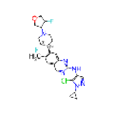 Cc1cc2cnc(Nc3cnn(C4CC4)c3Cl)nc2cc1[C@@H]1CCN(C2COCC2F)C[C@H]1F